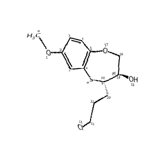 COc1ccc2c(c1)S[C@@H](CCCCl)[C@H](O)CO2